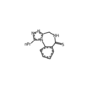 CCCc1nnc2n1-c1ccccc1C(=S)NC2